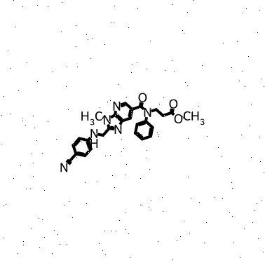 COC(=O)CCN(C(=O)c1cnc2c(c1)nc(CNc1ccc(C#N)cc1)n2C)c1ccccc1